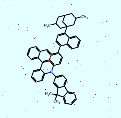 CC1CC2CC(C)CC(c3ccc(-c4ccc(N(c5ccc6c(c5)C(C)(C)c5ccccc5-6)c5ccccc5-c5cccc6ccccc56)cc4)c4ccccc34)(C1)C2